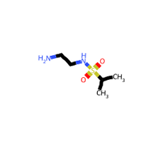 CC(C)S(=O)(=O)NCCN